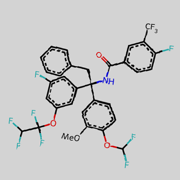 COc1cc([C@@](Cc2ccccc2)(NC(=O)c2ccc(F)c(C(F)(F)F)c2)c2cc(F)cc(OC(F)(F)C(F)F)c2)ccc1OC(F)F